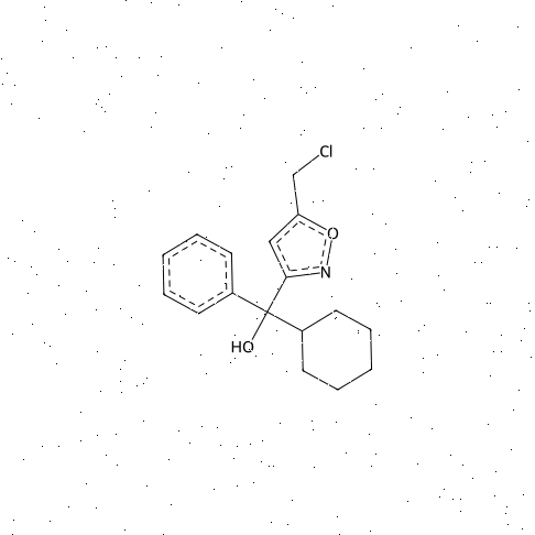 OC(c1ccccc1)(c1cc(CCl)on1)C1CCCCC1